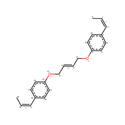 C/C=C\c1ccc(OC/C=C/COc2ccc(/C=C\C)cc2)cc1